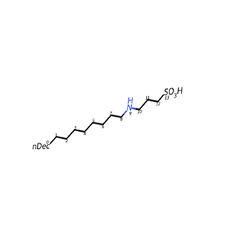 CCCCCCCCCCCCCCCCCCNCCCS(=O)(=O)O